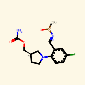 CC(C)(C)[S+]([O-])/N=C/c1cc(F)ccc1N1CC[C@@H](COC(N)=O)C1